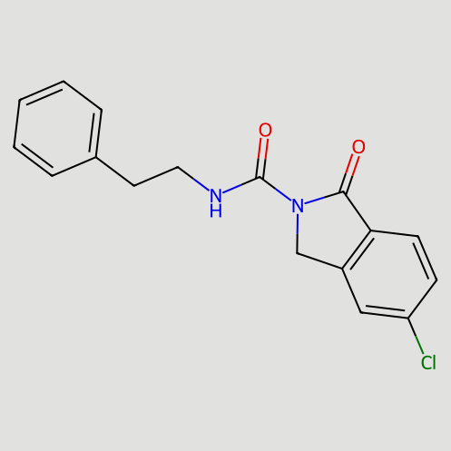 O=C(NCCc1ccccc1)N1Cc2cc(Cl)ccc2C1=O